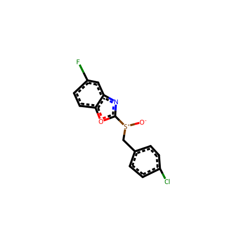 [O-][S+](Cc1ccc(Cl)cc1)c1nc2cc(F)ccc2o1